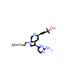 COCCn1cc(-c2ccnc(N)n2)c2cc(C#CC(C)(C)O)ncc21